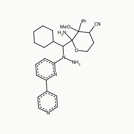 COC1(C(C)C)C(C#N)CCOC1(N)C(C1CCCCC1)N(N)c1cccc(-c2ccncc2)n1